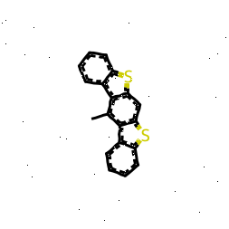 Cc1c2c(cc3sc4ccccc4c13)sc1ccccc12